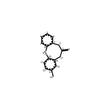 C=C1Cc2ccccc2Sc2ccc(C)cc2C1